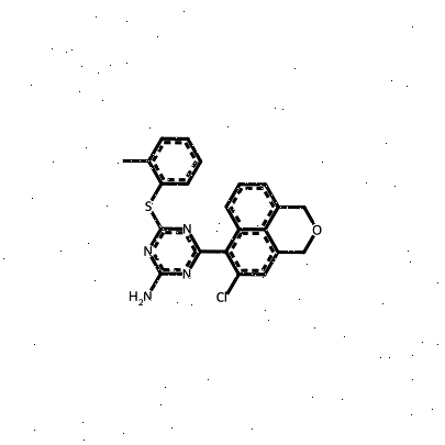 Cc1ccccc1Sc1nc(N)nc(-c2c(Cl)cc3c4c(cccc24)COC3)n1